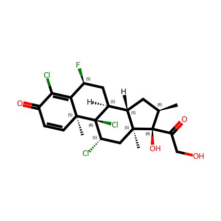 C[C@@H]1C[C@H]2[C@@H]3C[C@H](F)C4=C(Cl)C(=O)C=C[C@]4(C)[C@@]3(Cl)[C@@H](Cl)C[C@]2(C)[C@@]1(O)C(=O)CO